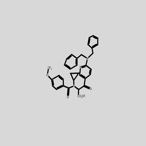 CCOC(=O)C(C(=O)c1ccc(N(Cc2ccccc2)Cc2ccccc2)nc1)N(C(=O)c1ccc(OC(F)(F)F)cc1)C1CC1